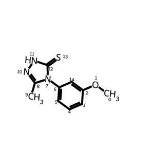 COc1cccc(-n2c(C)n[nH]c2=S)c1